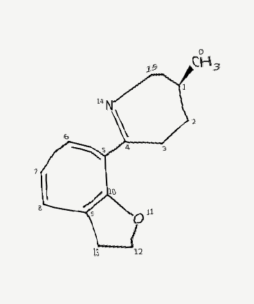 C[C@H]1CCC(c2cccc3c2OCC3)=NC1